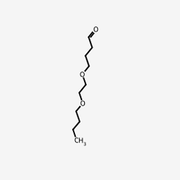 CCCCOCCOCCCC=O